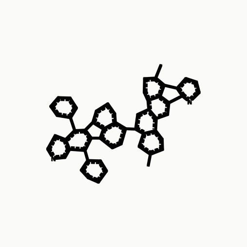 Cc1ccc2c(c1)c(-c1ccc3c4c(cccc14)-c1c-3c(-c3ccccc3)c3cnccc3c1-c1ccccc1)cc1c3ccc(C)c4c3c(cc21)-c1ncccc1-4